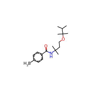 Bc1ccc(C(=O)NC(C)(C)CCOC(C)(C)C(C)C)cc1